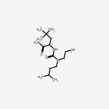 CC(C)CCN(CCO)C(=O)NC(CC(C)(C)C)C(N)=O